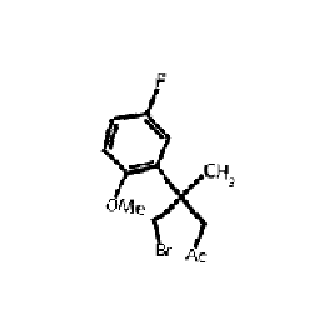 COc1ccc(F)cc1C(C)(CBr)CC(C)=O